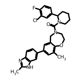 Cc1nc2ccc(-c3cc(C)c4c(c3)CN(C(=O)N3CCCCC3c3ccc(F)c(Cl)c3)CCO4)cc2[nH]1